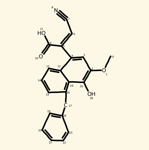 COc1cc(C(=CC#N)C(=O)O)c2cccc(Cc3ccccc3)c2c1O